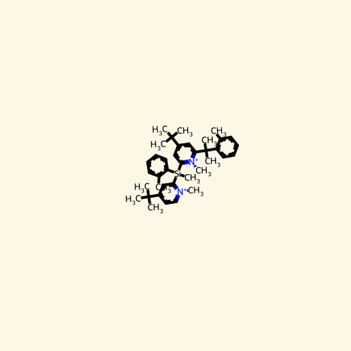 Cc1ccccc1C(C)(C)c1cc(C(C)(C)C)cc([Si](C)(c2ccccc2C)c2cc(C(C)(C)C)cc[n+]2C)[n+]1C